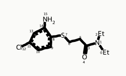 CCN(CC)C(=O)CCSc1ccc(Cl)cc1N